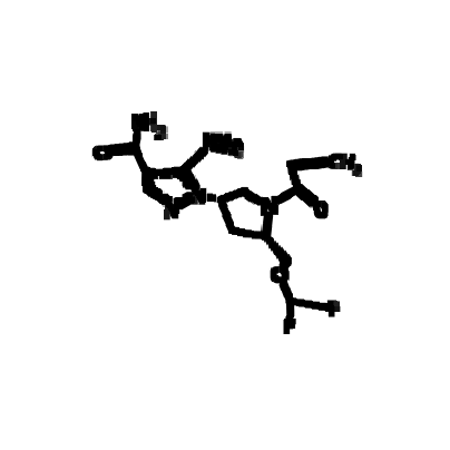 C=CC(=O)N1C[C@@H](n2ncc(C(N)=O)c2NC)C[C@@H]1COC(F)F